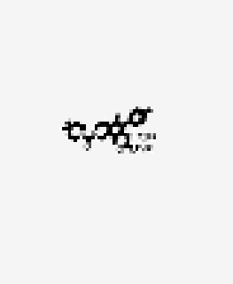 COC(=O)[C@@H](OC(C)(C)C)c1c(C)c2c(c(C)c1-c1ccc(C)cc1)CCN(C(=O)N1CCC(C)(C)CC1)C2